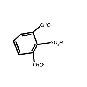 O=[C]c1cccc([C]=O)c1S(=O)(=O)O